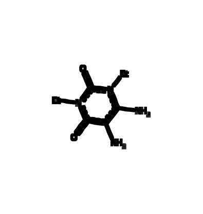 CCn1c(N)c(N)c(=O)n(CC)c1=O